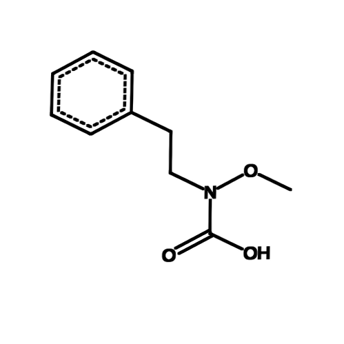 CON(CCc1ccccc1)C(=O)O